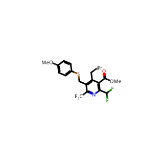 COC(=O)c1c(C(F)F)nc(C(F)(F)F)c(CSc2ccc(OC)cc2)c1CC(C)C